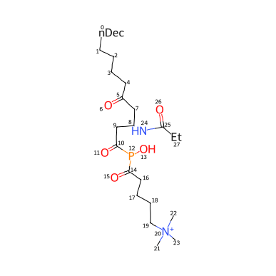 CCCCCCCCCCCCCCC(=O)CC(CC(=O)P(O)C(=O)CCCC[N+](C)(C)C)NC(=O)CC